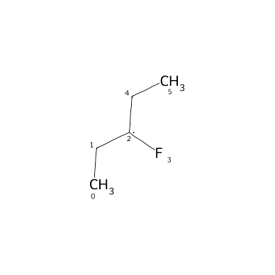 CC[C](F)CC